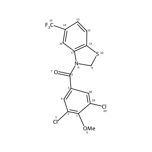 COc1c(Cl)cc(C(=O)N2CSc3ccc(C(F)(F)F)cc32)cc1Cl